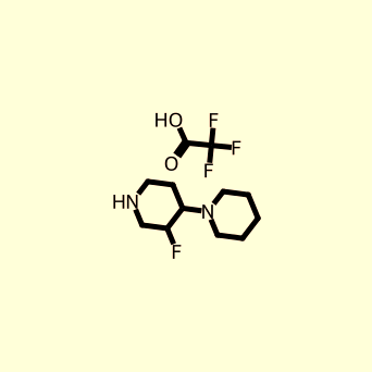 FC1CNCCC1N1CCCCC1.O=C(O)C(F)(F)F